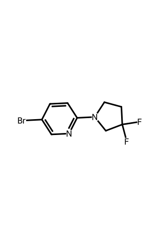 FC1(F)CCN(c2ccc(Br)cn2)C1